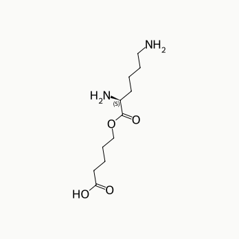 NCCCC[C@H](N)C(=O)OCCCCC(=O)O